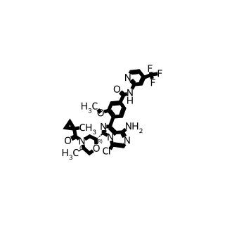 COc1cc(C(=O)Nc2cc(C(F)(F)F)ccn2)ccc1-c1nc([C@H]2CN(C(=O)C3(C)CC3)[C@@H](C)CO2)n2c(Cl)cnc(N)c12